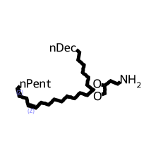 CCCCC/C=C\C/C=C\CCCCCCCCC1(CCCCCCCCCCCCCCCC)OCC(CCN)O1